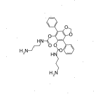 NCCCNC(=O)Oc1c(OC(=O)NCCCN)c(-c2ccccc2)c2c(c1-c1ccccc1)OCO2